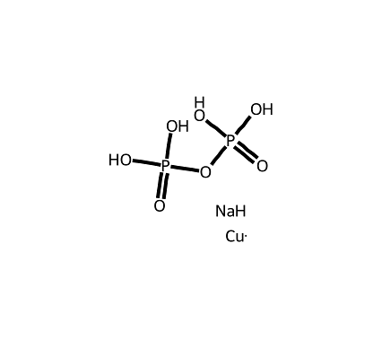 O=P(O)(O)OP(=O)(O)O.[Cu].[NaH]